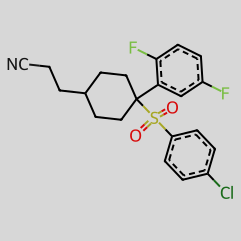 N#CCCC1CCC(c2cc(F)ccc2F)(S(=O)(=O)c2ccc(Cl)cc2)CC1